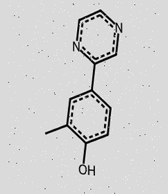 Cc1cc(-c2cnccn2)ccc1O